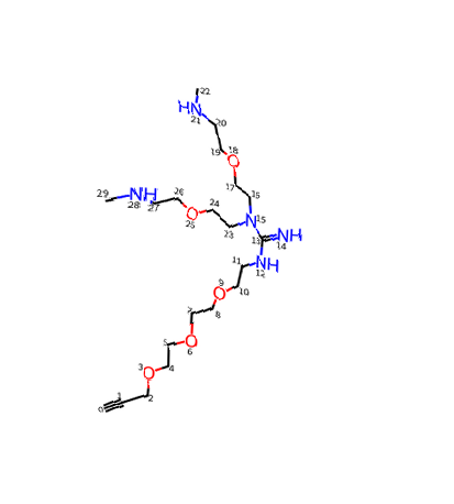 C#CCOCCOCCOCCNC(=N)N(CCOCCNC)CCOCCNC